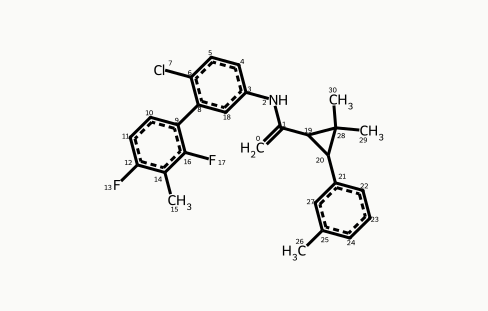 C=C(Nc1ccc(Cl)c(-c2ccc(F)c(C)c2F)c1)C1C(c2cccc(C)c2)C1(C)C